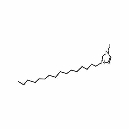 CCCCCCCCCCCCCCCCN1C=CN(I)C1